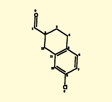 O=CC1CCc2ccc(Cl)cc2C1